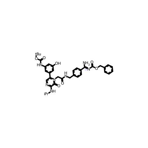 CC(C)Nc1ncc(-c2cc(O)cc(NC(=O)OC(C)(C)C)c2)n(CC(=O)NCc2ccc(/C(N)=N/C(=O)OCc3ccccc3)cc2)c1=O